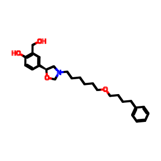 OCc1cc([C@H]2CN(CCCCCCOCCCCc3ccccc3)CO2)ccc1O